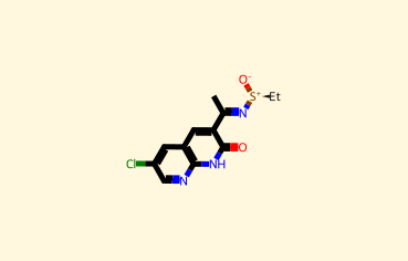 CC[S@@+]([O-])/N=C(\C)c1cc2cc(Cl)cnc2[nH]c1=O